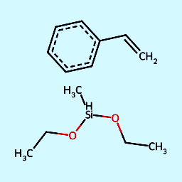 C=Cc1ccccc1.CCO[SiH](C)OCC